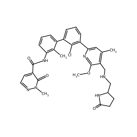 COc1nc(-c2cccc(-c3cccc(NC(=O)c4ccnn(C)c4=O)c3C)c2Cl)cc(C)c1CNCC1CCC(=O)N1